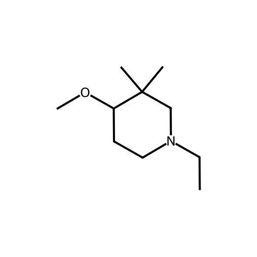 CCN1CCC(OC)C(C)(C)C1